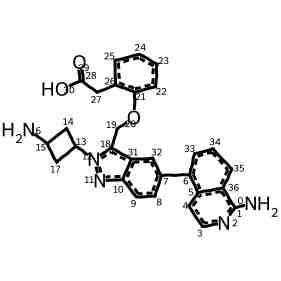 Nc1nccc2c(-c3ccc4nn(C5CC(N)C5)c(COc5ccccc5CC(=O)O)c4c3)cccc12